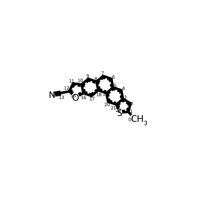 Cc1cc2cc3ccc4cc5cc(C#N)oc5cc4c3cc2s1